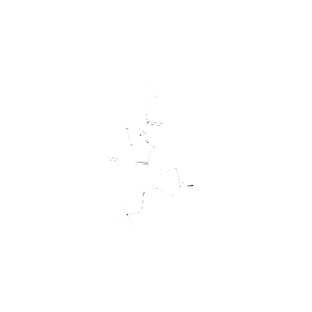 C=C[C@@H]1C[C@]1(NC(=O)[C@@H]1C[C@@H](O)CN1C(=O)OC(C)(C)C)C(=O)OCC